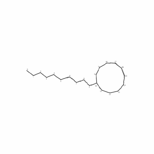 C[CH]CCCCCCCC[C]1CCCCCCCCCC1